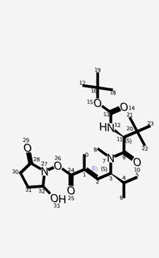 C/C(=C\[C@H](C(C)C)N(C)C(=O)[C@@H](NC(=O)OC(C)(C)C)C(C)(C)C)C(=O)ON1C(=O)CCC1O